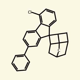 Clc1cccc2c1-c1ccc(-c3ccccc3)cc1C21C2CC3CC4CC1C42C3